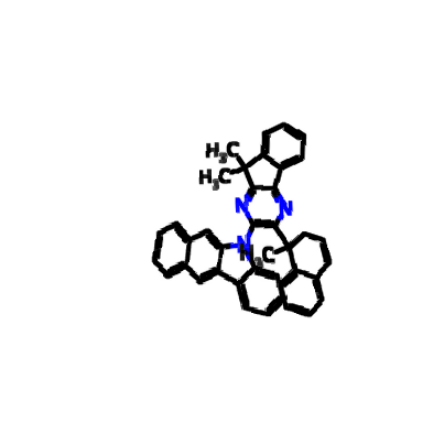 CC1(C)c2ccccc2-c2nc(C3(C)CC=Cc4ccccc43)c(-n3c4ccccc4c4cc5ccccc5cc43)nc21